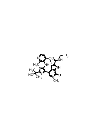 CCNC(=O)c1cc2c(-c3oc(C(C)(C)O)nc3Nc3c(C)ccnc3C)cn(C)c(=O)c2[nH]1